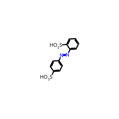 O=S(=O)(O)c1ccc(N=Nc2cc[c]cc2S(=O)(=O)O)cc1